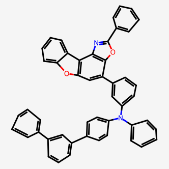 c1ccc(-c2cccc(-c3ccc(N(c4ccccc4)c4cccc(-c5cc6oc7ccccc7c6c6nc(-c7ccccc7)oc56)c4)cc3)c2)cc1